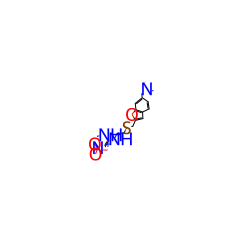 CNC(=C[N+](=O)[O-])NCCSCc1cc2ccc(CN(C)C)cc2o1